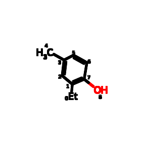 CCc1cc(C)ccc1O